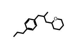 CCCc1ccc(CC(C)CC2CCCCO2)cc1